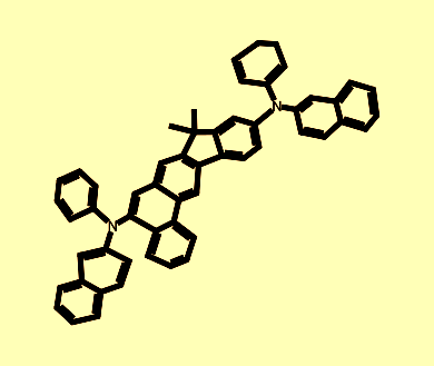 CC1(C)c2cc(N(C3=CCCC=C3)c3ccc4ccccc4c3)ccc2-c2cc3c(cc21)cc(N(c1ccccc1)c1ccc2ccccc2c1)c1ccccc13